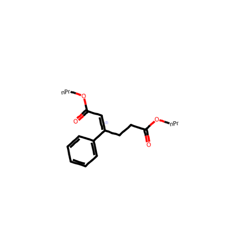 CCCOC(=O)/C=C(/CCC(=O)OCCC)c1ccccc1